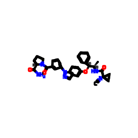 [C-]#[N+]C1(C(=O)N[C@@H](C)[C@H](Oc2ccc3c(cnn3-c3cccc(C(=O)N4CCC[C@@H]4C(N)=O)c3)c2)c2ccccc2)CC1